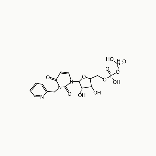 O=c1ccn(C2OC(COP(=O)(O)O[PH](=O)O)C(O)[C@@H]2O)c(=O)n1Cc1ccccn1